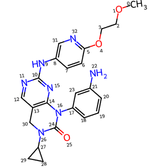 COCCOc1ccc(Nc2ncc3c(n2)N(c2cccc(N)c2)C(=O)N(C2CC2)C3)cn1